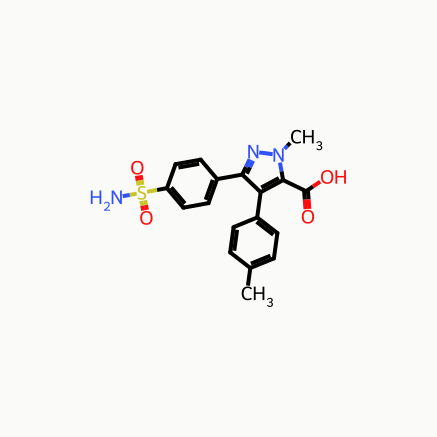 Cc1ccc(-c2c(-c3ccc(S(N)(=O)=O)cc3)nn(C)c2C(=O)O)cc1